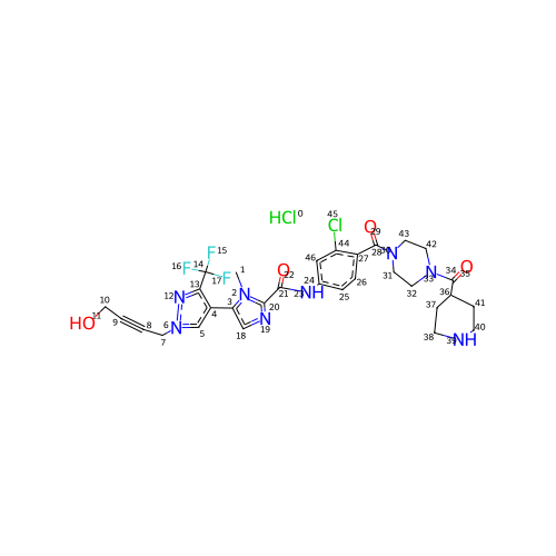 Cl.Cn1c(-c2cn(CC#CCO)nc2C(F)(F)F)cnc1C(=O)Nc1ccc(C(=O)N2CCN(C(=O)C3CCNCC3)CC2)c(Cl)c1